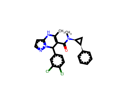 CC1=C(C(=O)N(C)[C@H]2C[C@@H]2c2ccccc2)C(c2ccc(Cl)c(Cl)c2)n2nccc2N1